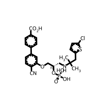 CC(C)(Cc1ccc(Cl)s1)NC[C@@H](COc1cc(-c2ccc(C(=O)O)cc2)ccc1C#N)OP(=O)(O)O